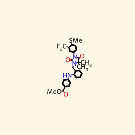 COC(=O)c1ccc(Nc2ccccc2CN2C(=O)N(c3ccc(SC)c(C(F)(F)F)c3)C(=O)C2(C)C)cc1